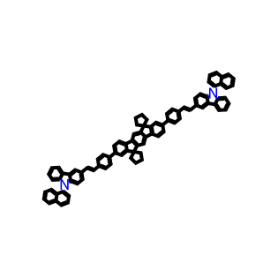 C(=C\c1ccc2c(c1)c1ccccc1n2-c1cccc2ccccc12)/c1ccc(-c2ccc3c(c2)C2(CCCC2)c2cc4c(cc2-3)C2(CCCC2)c2cc(-c3ccc(/C=C/c5ccc6c(c5)c5ccccc5n6-c5cccc6ccccc56)cc3)ccc2-4)cc1